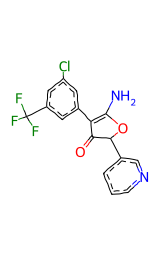 NC1=C(c2cc(Cl)cc(C(F)(F)F)c2)C(=O)C(c2cccnc2)O1